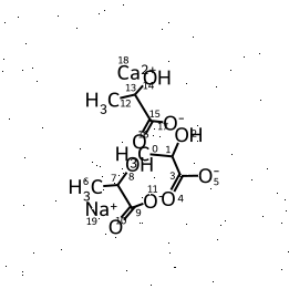 CC(O)C(=O)[O-].CC(O)C(=O)[O-].CC(O)C(=O)[O-].[Ca+2].[Na+]